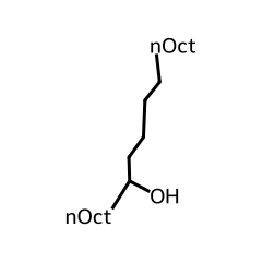 CCCCCCCCCCCCC(O)CCCCCCCC